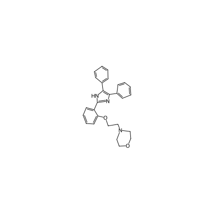 c1ccc(-c2nc(-c3ccccc3OCCN3CCOCC3)[nH]c2-c2ccccc2)cc1